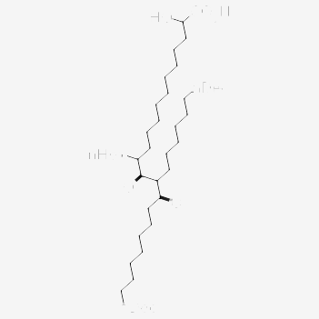 CCCCCCCCCCCCCCCCCC(=O)C(CCCCCCCCCCCCCCCC)C(=O)C(CCCCCC)CCCCCCCCCC(O)C(=O)O